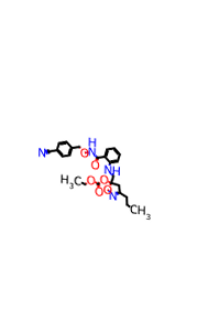 CCCC1=NOC(CNc2ccccc2C(=O)NOCc2ccc(C#N)cc2)(OC(=O)OCC)C1